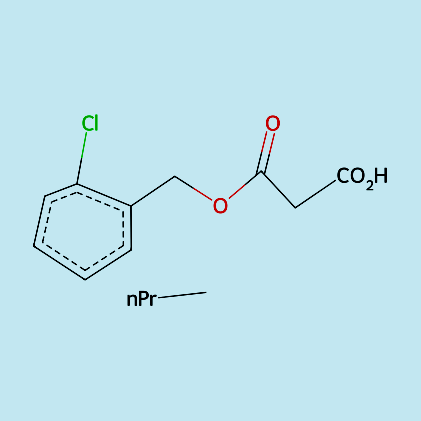 CCCC.O=C(O)CC(=O)OCc1ccccc1Cl